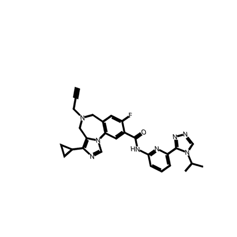 C#CCN1Cc2cc(F)c(C(=O)Nc3cccc(-c4nncn4C(C)C)n3)cc2-n2cnc(C3CC3)c2C1